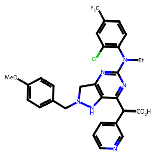 CCN(c1nc2c(c(C(C(=O)O)c3cccnc3)n1)NN(Cc1ccc(OC)cc1)C2)c1ccc(C(F)(F)F)cc1Cl